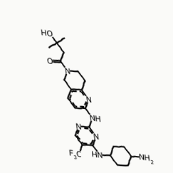 CC(C)(O)CC(=O)N1CCc2nc(Nc3ncc(C(F)(F)F)c(NC4CCC(N)CC4)n3)ccc2C1